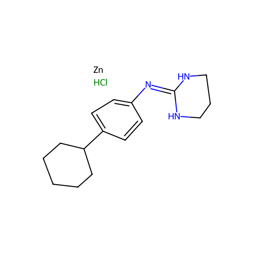 Cl.[Zn].c1cc(C2CCCCC2)ccc1N=C1NCCCN1